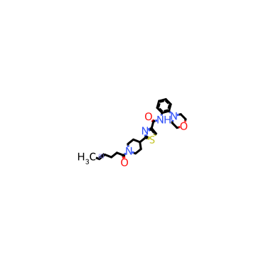 C/C=C/CCC(=O)N1CCC(c2nc(C(=O)Nc3ccccc3N3CCOCC3)cs2)CC1